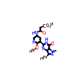 CCCOc1ncc(NC(=O)CC(=O)O)cc1-c1nc2c(CCC)nn(C)c2c(=O)[nH]1